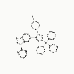 Fc1ccc(-c2nn(C(c3ccccc3)(c3ccccc3)C3C=CC=CC3)cc2-c2ccc3ncc(-c4ncccn4)n3c2)cc1